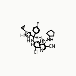 BC(Nc1cc(Cl)c2ncc(C#N)c(NNC3CCCCC3)c2c1)(C1=CN(C2CC2)NN1)c1ccc(F)cc1